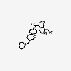 CC(C)C[C@@H]1NCCN([C@@H](CC(C)C)C(=O)N2CCC3(CC2)OCC(CN2CCCCC2)CO3)C1=O